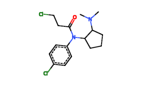 CN(C)C1CCCC1N(C(=O)CCCl)c1ccc(Cl)cc1